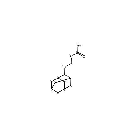 CCCC(=O)OCOC1C2CC3CC(C2)CC1C3